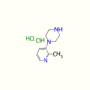 Cc1ncccc1N1CCNCC1.Cl.Cl